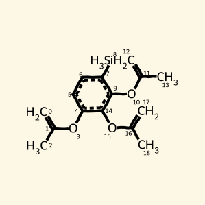 C=C(C)Oc1ccc([SiH3])c(OC(=C)C)c1OC(=C)C